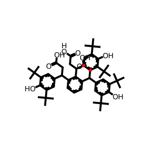 CC(C)(C)c1cc(C(CC(=O)O)c2cccc(C(CC(=O)O)c3cc(C(C)(C)C)c(O)c(C(C)(C)C)c3)c2C(CC(=O)O)c2cc(C(C)(C)C)c(O)c(C(C)(C)C)c2)cc(C(C)(C)C)c1O